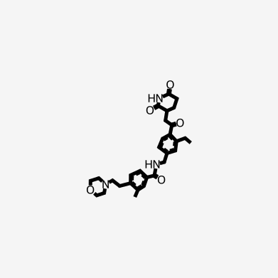 CCc1cc(CNC(=O)c2ccc(CCN3CCOCC3)c(C)c2)ccc1C(=O)CC1CCC(=O)NC1=O